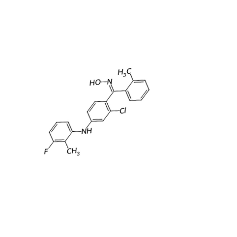 Cc1ccccc1C(=NO)c1ccc(Nc2cccc(F)c2C)cc1Cl